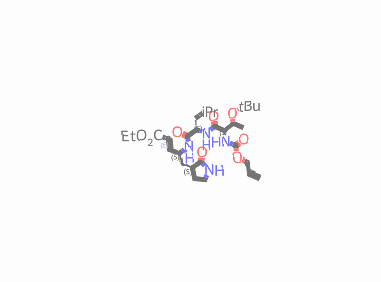 C=CCOC(=O)N[C@H](C(=O)N[C@@H](CC(C)C)C(=O)N[C@H](/C=C/C(=O)OCC)C[C@@H]1CCNC1=O)C(C)OC(C)(C)C